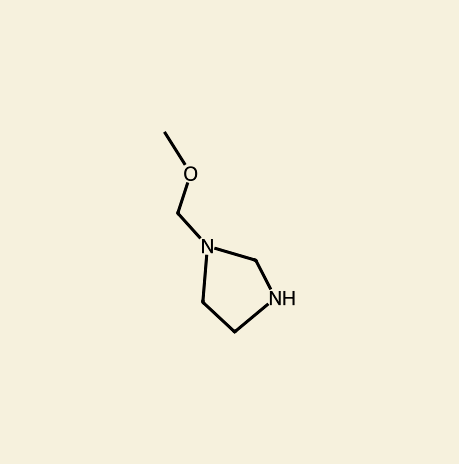 COCN1CCNC1